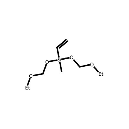 C=C[Si](C)(OCOCC)OCOCC